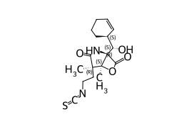 C[C@@]12OC(=O)[C@]1([C@@H](O)[C@@H]1C=CCCC1)NC(=O)[C@]2(C)CCN=C=S